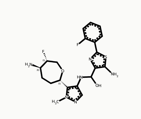 Cn1ncc(NC(O)c2nc(-c3ccccc3F)sc2N)c1[C@@H]1CC[C@@H](N)[C@H](F)CO1